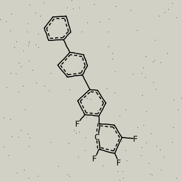 Fc1cc(-c2ccc(-c3ccccc3)cc2)ccc1-c1cc(F)c(F)c(F)c1